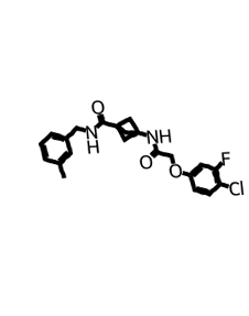 Cc1cccc(CNC(=O)C23CC(NC(=O)COc4ccc(Cl)c(F)c4)(C2)C3)c1